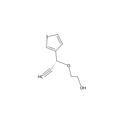 C#C[C@@H](OCCO)c1ccsc1